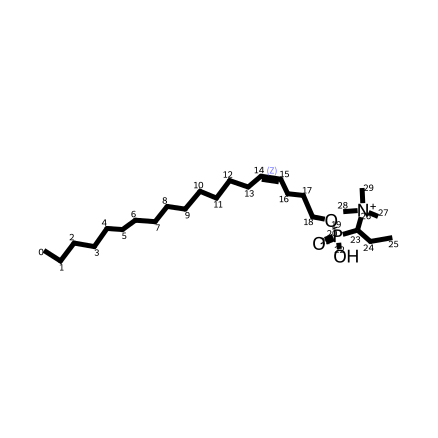 CCCCCCCCCCCCCC/C=C\CCCOP(=O)(O)C(CC)[N+](C)(C)C